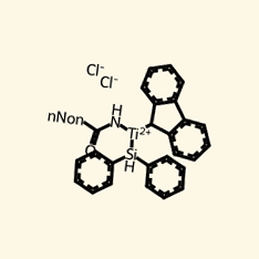 CCCCCCCCCC(=O)[NH][Ti+2]([CH]1c2ccccc2-c2ccccc21)[SiH](c1ccccc1)c1ccccc1.[Cl-].[Cl-]